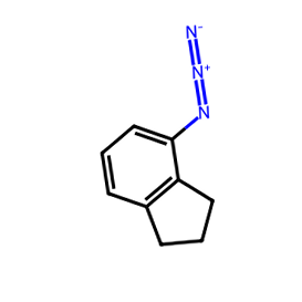 [N-]=[N+]=Nc1cccc2c1CCC2